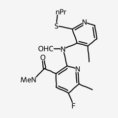 CCCSc1nccc(C)c1N(C=O)c1nc(C)c(F)cc1C(=O)NC